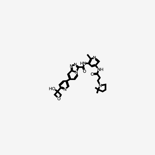 Cc1ncc(NC(=O)CCN2CCCC2(C)C)cc1NC(=O)c1nnc2cc(-c3ccc(C4(O)COC4)nc3)ccn12